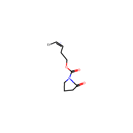 CC/C=C\CCOC(=O)N1CCCC1=O